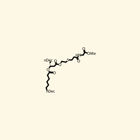 CCCCCCCCCCCCCCCC(=O)O[C@H](CCCCCCCCCCC)CC(=O)OCCSCCC(=O)NCC(=O)OC